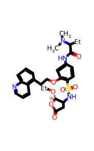 CCO[C@H]1OC(=O)CC1NS(=O)(=O)c1ccc(NC(=O)C(CC)N(C)C)cc1OCCc1cccc2ncccc12